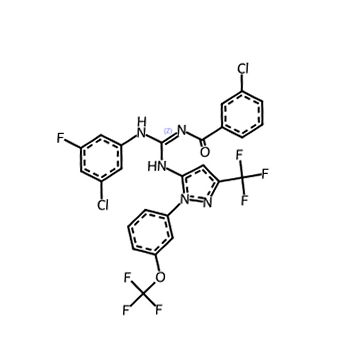 O=C(/N=C(/Nc1cc(F)cc(Cl)c1)Nc1cc(C(F)(F)F)nn1-c1cccc(OC(F)(F)F)c1)c1cccc(Cl)c1